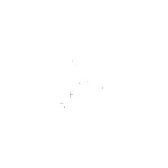 O=[O+][O-].[Fe+3].[Fe]